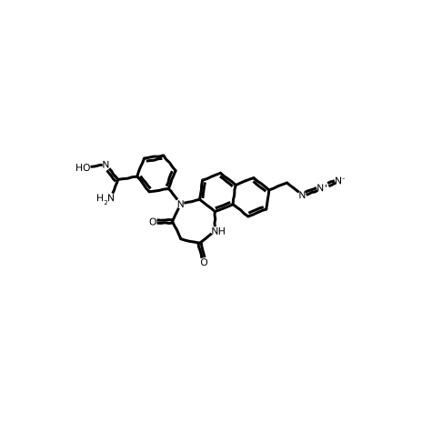 [N-]=[N+]=NCc1ccc2c3c(ccc2c1)N(c1cccc(/C(N)=N/O)c1)C(=O)CC(=O)N3